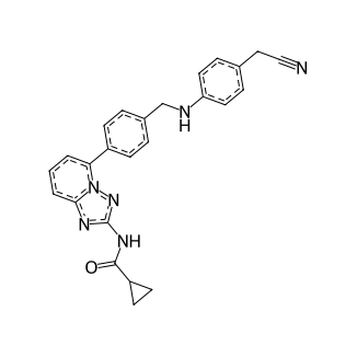 N#CCc1ccc(NCc2ccc(-c3cccc4nc(NC(=O)C5CC5)nn34)cc2)cc1